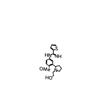 COc1ccc(NC(=N)c2cccs2)cc1C1CCCN1CCO